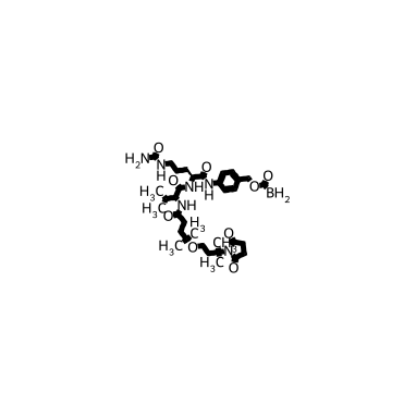 BC(=O)OCc1ccc(NC(=O)[C@H](CCCNC(N)=O)NC(=O)C(NC(=O)CCC(C)(C)OCCC(C)(C)N2C(=O)CCC2=O)C(C)C)cc1